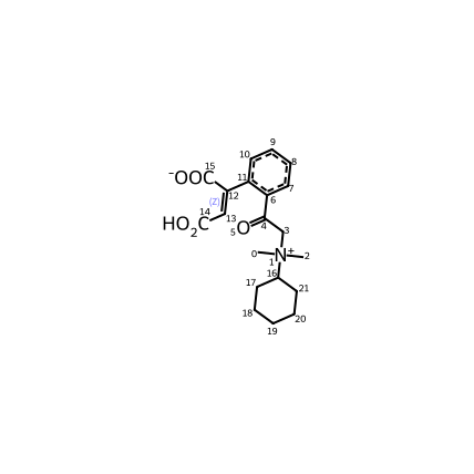 C[N+](C)(CC(=O)c1ccccc1/C(=C/C(=O)O)C(=O)[O-])C1CCCCC1